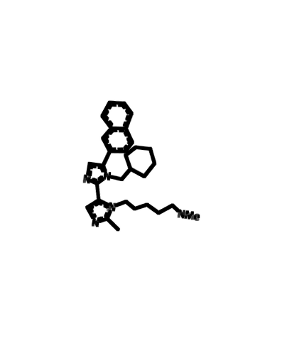 CNCCCCCn1c(-c2ncc(-c3ccc4ccccc4c3)n2CC2CCCCC2)cnc1C